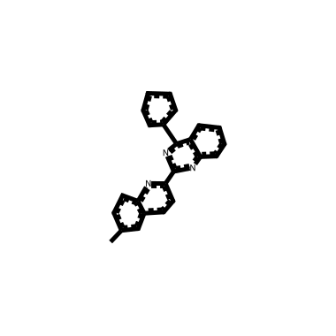 Cc1ccc2nc(-c3nc(-c4ccccc4)c4ccccc4n3)ccc2c1